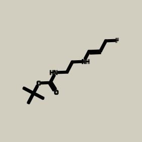 CC(C)(C)OC(=O)NCCN/C=C/CF